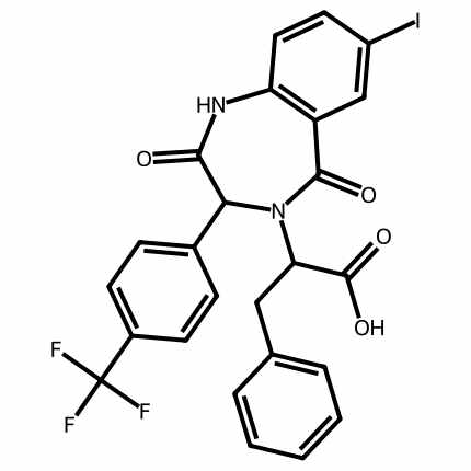 O=C(O)C(Cc1ccccc1)N1C(=O)c2cc(I)ccc2NC(=O)C1c1ccc(C(F)(F)F)cc1